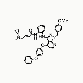 COc1ccc(Cn2nc(Nc3ccccc3NC(=O)/C=C/CN(C)C3CC3)c3c(Oc4ccc(Oc5ccccc5)cc4)ccnc32)cc1